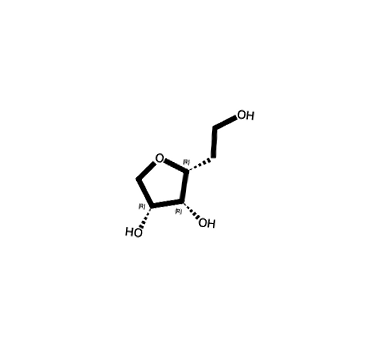 OCC[C@H]1OC[C@@H](O)[C@H]1O